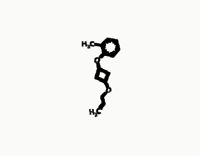 C=CCOC1CC(Oc2ccccc2C)C1